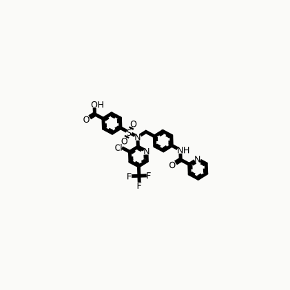 O=C(O)c1ccc(S(=O)(=O)N(Cc2ccc(NC(=O)c3ccccn3)cc2)c2ncc(C(F)(F)F)cc2Cl)cc1